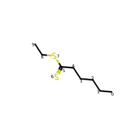 CCCCCC(=S)SCC